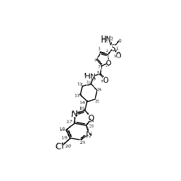 CS(=N)(=O)c1ccc(C(=O)NC2CCC(c3nc4cc(Cl)cnc4o3)CC2)o1